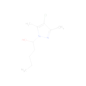 CCCCC(O)n1nc(C)c(Cl)c1C